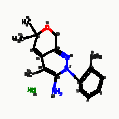 CSc1ccccc1N1N=C2COC(C)(C)C=C2C(C#N)=C1N.Cl